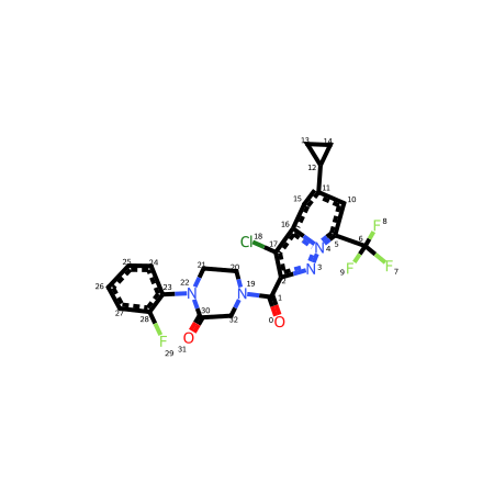 O=C(c1nn2c(C(F)(F)F)cc(C3CC3)cc2c1Cl)N1CCN(c2ccccc2F)C(=O)C1